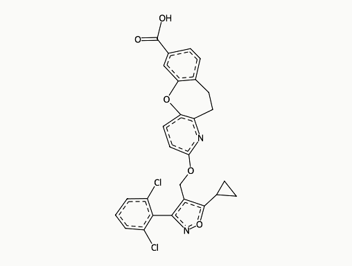 O=C(O)c1ccc2c(c1)Oc1ccc(OCc3c(-c4c(Cl)cccc4Cl)noc3C3CC3)nc1CC2